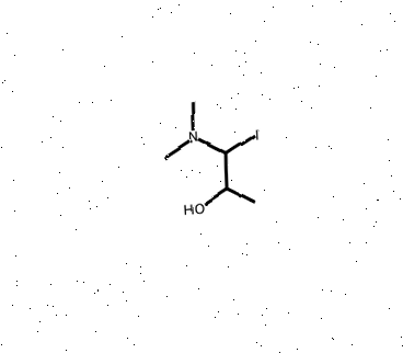 CC(O)C(I)N(C)C